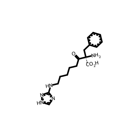 N[C@@](Cc1ccccc1)(C(=O)O)C(=O)CCCCCNc1nc[nH]n1